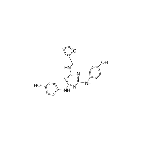 Oc1ccc(Nc2nc(NCc3ccco3)nc(Nc3ccc(O)cc3)n2)cc1